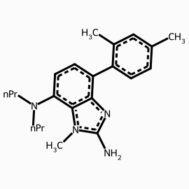 CCCN(CCC)c1ccc(-c2ccc(C)cc2C)c2nc(N)n(C)c12